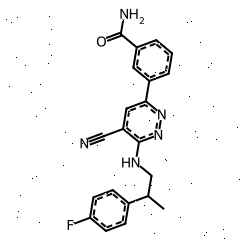 CC(CNc1nnc(-c2cccc(C(N)=O)c2)cc1C#N)c1ccc(F)cc1